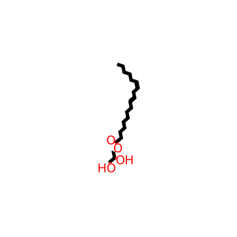 CCCCC/C=C\C/C=C/CCCCCCCC(=O)OCC(O)CO